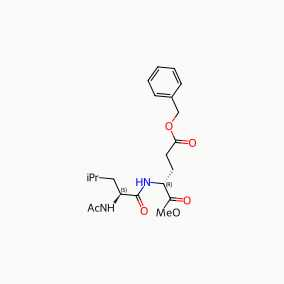 COC(=O)[C@@H](CCC(=O)OCc1ccccc1)NC(=O)[C@H](CC(C)C)NC(C)=O